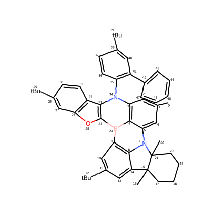 Cc1cc2c3c(c1)N1c4c(cc(C(C)(C)C)cc4C4(C)CCCCC14C)B3c1oc3cc(C(C)(C)C)ccc3c1N2c1ccc(C(C)(C)C)cc1-c1ccccc1